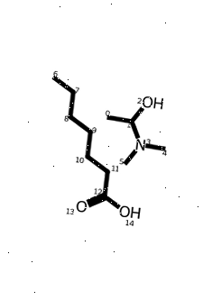 CC(O)N(C)C.CCCCCCC(=O)O